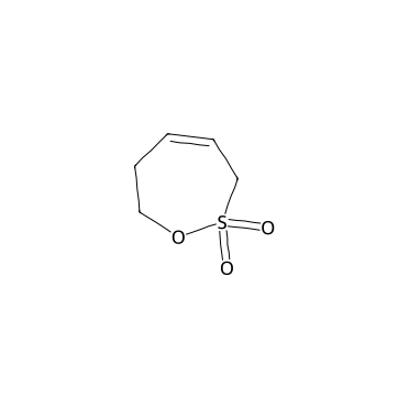 O=S1(=O)CC=CCCO1